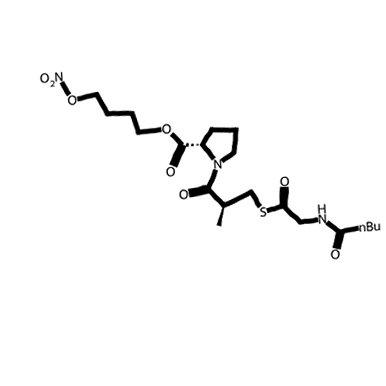 CCCCC(=O)NCC(=O)SC[C@@H](C)C(=O)N1CCC[C@H]1C(=O)OCCCCO[N+](=O)[O-]